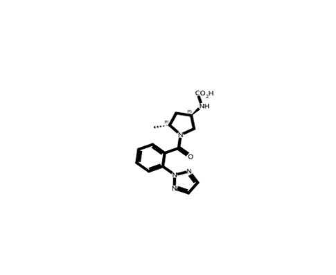 C[C@@H]1C[C@@H](NC(=O)O)CN1C(=O)c1ccccc1-n1nccn1